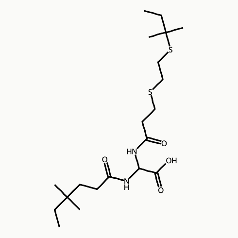 CCC(C)(C)CCC(=O)NC(NC(=O)CCSCCSC(C)(C)CC)C(=O)O